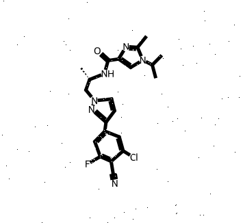 Cc1nc(C(=O)N[C@@H](C)Cn2ccc(-c3cc(F)c(C#N)c(Cl)c3)n2)cn1C(C)C